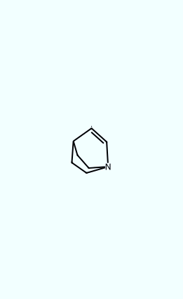 [C]1=CN2CCC1CC2